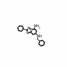 Nc1cc(NCc2ccccc2)cc2nc(-c3ccccc3)nn12